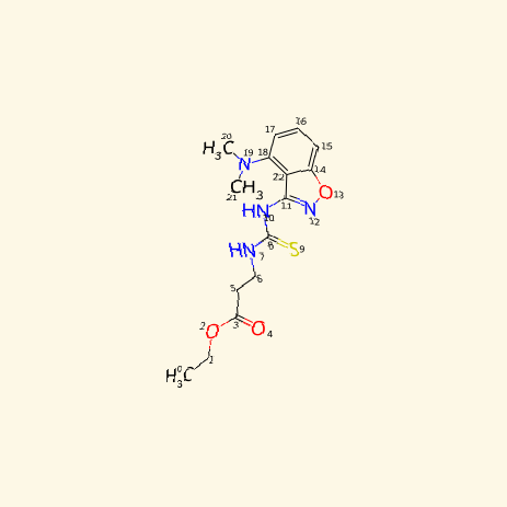 CCOC(=O)CCNC(=S)Nc1noc2cccc(N(C)C)c12